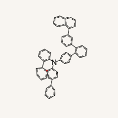 c1ccc(-c2ccc(N(c3ccc(-c4ccccc4-c4cccc(-c5cccc6ccccc56)c4)cc3)c3ccccc3-c3ccccc3)cc2)cc1